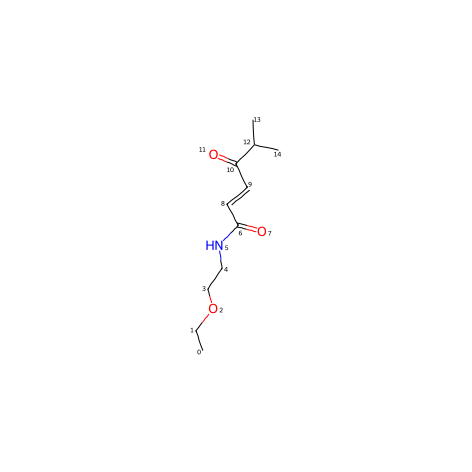 CCOCCNC(=O)/C=C/C(=O)C(C)C